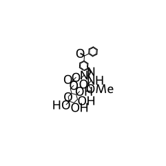 COC(=O)Nc1nc2cc(C(=O)c3ccccc3)ccc2n1COC(=O)OCC1OC(O)C(O)C(O)C1O